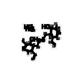 C=Cc1cnc(C)c(O)c1CSSCc1c(C=C)cnc(C)c1O.Cl.Cl